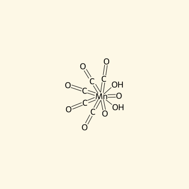 O=[C]=[Mn](=[O])(=[O])([OH])([OH])(=[C]=O)(=[C]=O)(=[C]=O)=[C]=O